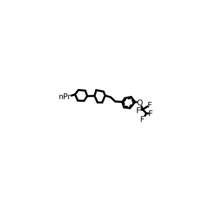 CCCC1CCC(C2CCC(CCc3ccc(OC(F)(F)C(F)F)cc3)CC2)CC1